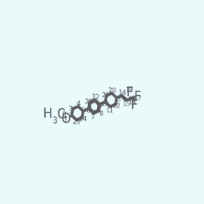 COC1CCC(c2ccc(C3CCC(C=CC(F)(F)F)CC3)cc2)CC1